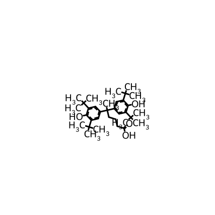 CC(C)(C)c1cc(C(C)(CCCC(=O)O)c2cc(C(C)(C)C)c(O)c(C(C)(C)C)c2)cc(C(C)(C)C)c1O